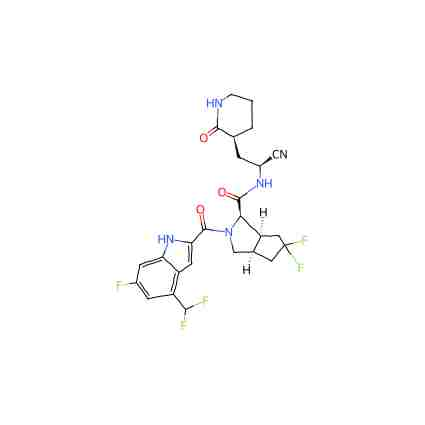 N#C[C@H](C[C@@H]1CCCNC1=O)NC(=O)[C@H]1[C@H]2CC(F)(F)C[C@H]2CN1C(=O)c1cc2c(C(F)F)cc(F)cc2[nH]1